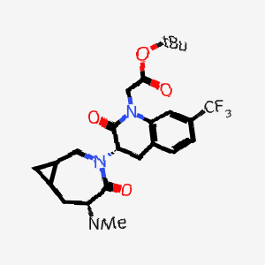 CN[C@H]1CC2CC2CN([C@H]2Cc3ccc(C(F)(F)F)cc3N(CC(=O)OC(C)(C)C)C2=O)C1=O